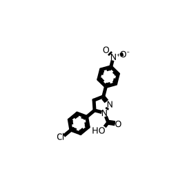 O=C(O)N1N=C(c2ccc([N+](=O)[O-])cc2)CC1c1ccc(Cl)cc1